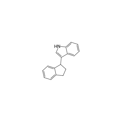 c1ccc2c(c1)CCC2c1c[nH]c2ccccc12